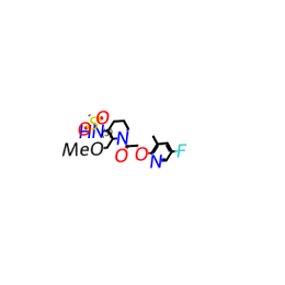 COCC1[C@@H](NS(C)(=O)=O)CCCN1C(=O)COc1ncc(F)cc1C